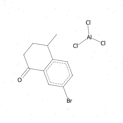 CC1CCC(=O)c2cc(Br)ccc21.[Cl][Al]([Cl])[Cl]